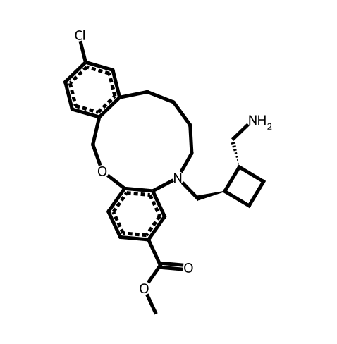 COC(=O)c1ccc2c(c1)N(C[C@@H]1CC[C@H]1CN)CCCCc1cc(Cl)ccc1CO2